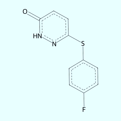 O=c1ccc(Sc2ccc(F)cc2)n[nH]1